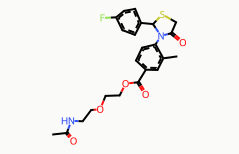 CC(=O)NCCOCCOC(=O)c1ccc(N2C(=O)CSC2c2ccc(F)cc2)c(C)c1